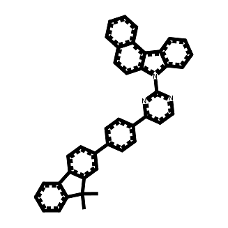 CC1(C)c2ccccc2-c2ccc(-c3ccc(-c4ccnc(-n5c6ccccc6c6c7ccccc7ccc65)n4)cc3)cc21